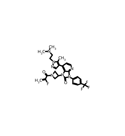 C=C(F)C(=O)N1CC(n2c(=O)n(-c3ccc(C(F)(F)F)cc3)c3nccc(-c4cnn(CCN(C)C)c4C)c32)C1